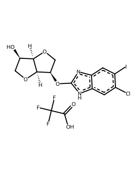 O=C(O)C(F)(F)F.O[C@@H]1CO[C@H]2[C@@H]1OC[C@H]2Oc1nc2cc(I)c(Cl)cc2[nH]1